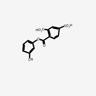 N#Cc1cccc(OC(=O)c2ccc(S(=O)(=O)O)cc2C(=O)O)c1